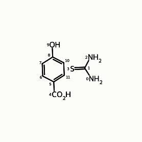 NC(N)=S.O=C(O)c1ccc(O)cc1